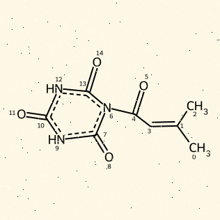 CC(C)=CC(=O)n1c(=O)[nH]c(=O)[nH]c1=O